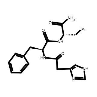 CC(C)C[C@H](NC(=O)[C@H](Cc1ccccc1)NC(=O)Cc1c[nH]cn1)C(N)=O